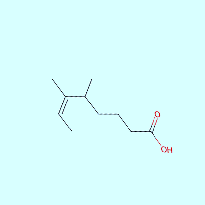 CC=C(C)C(C)CCCC(=O)O